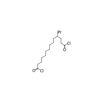 CC(C)C(CCCCCCCCCC(=O)Cl)CCC(=O)Cl